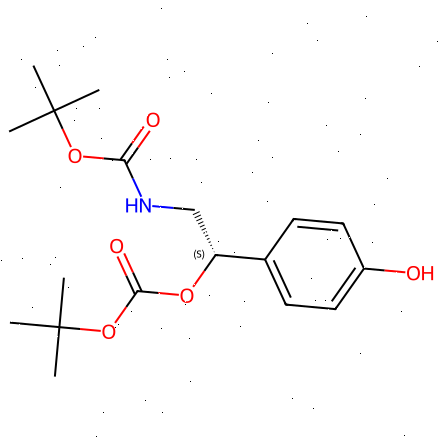 CC(C)(C)OC(=O)NC[C@@H](OC(=O)OC(C)(C)C)c1ccc(O)cc1